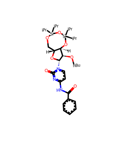 CCCCO[C@@H]1[C@@H]2O[Si](C(C)C)(C(C)C)O[Si](C(C)C)(C(C)C)OC[C@H]2O[C@H]1n1ccc(NC(=O)c2ccccc2)nc1=O